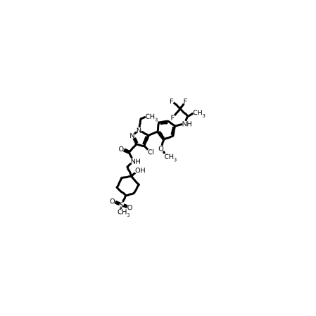 CCn1nc(C(=O)NCC2(O)CCC(S(C)(=O)=O)CC2)c(Cl)c1-c1ccc(NC(C)C(F)(F)F)cc1OC